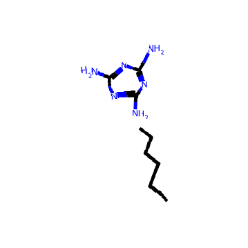 CCCCCC.Nc1nc(N)nc(N)n1